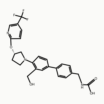 O=C(O)NCc1ccc(-c2ccc(N3CC[C@H](Oc4ccc(C(F)(F)F)cn4)C3)c(CO)c2)cc1